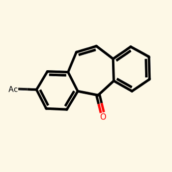 CC(=O)c1ccc2c(=O)c3ccccc3ccc2c1